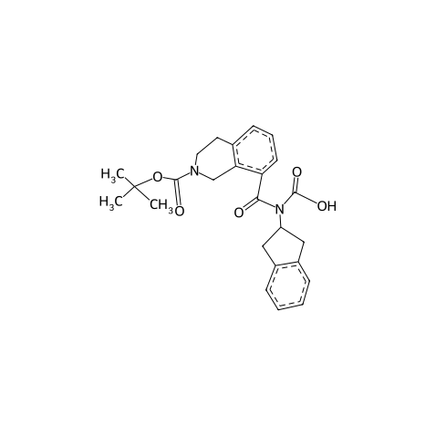 CC(C)(C)OC(=O)N1CCc2cccc(C(=O)N(C(=O)O)C3Cc4ccccc4C3)c2C1